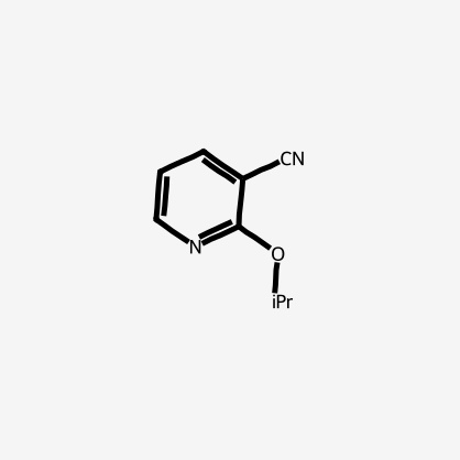 CC(C)Oc1ncccc1C#N